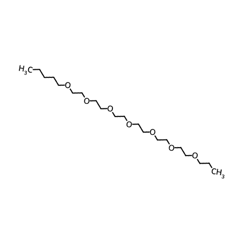 CCCCCOCCOCCOCCOCCOCCOCCOCCC